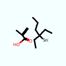 C=C(C)C(=O)O.CCC[C]([Sn])(CC)CC